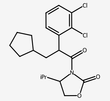 CC(C)C1COC(=O)N1C(=O)C(CC1CCCC1)c1cccc(Cl)c1Cl